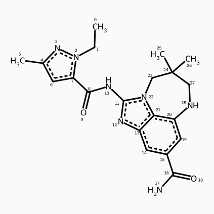 CCn1nc(C)cc1C(=O)Nc1nc2cc(C(N)=O)cc3c2n1CC(C)(C)CN3